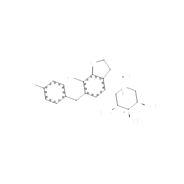 CCc1ccc(Cc2cc([C@H]3[C@H](O)[C@H](O)[C@H](O)C[SH]3C)c3c(c2Cl)OCC3)cc1